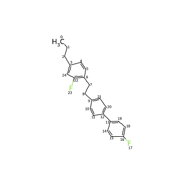 CCCc1ccc(CCc2ccc(-c3ccc(F)cc3)cc2)c(F)c1